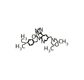 CC(C)c1ccc(Cn2c(=O)n3ncnc3c3cc(CN4C[C@@H](C)O[C@@H](C)C4)cnc32)cc1